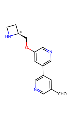 O=Cc1cncc(-c2cncc(OC[C@@H]3CCN3)c2)c1